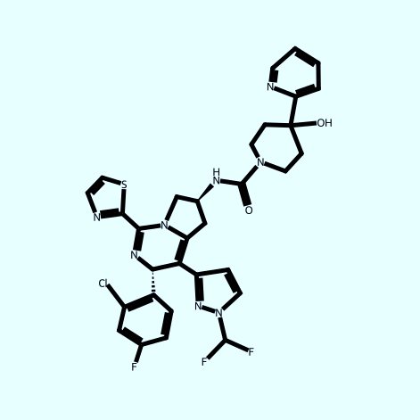 O=C(N[C@H]1CC2=C(c3ccn(C(F)F)n3)[C@H](c3ccc(F)cc3Cl)N=C(c3nccs3)N2C1)N1CCC(O)(c2ccccn2)CC1